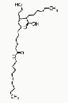 CCCCCCCCCOC(=O)CCCCCCCN(CCO)C(CCCCCC)C(=O)O